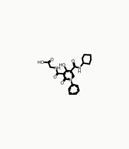 O=C(O)CNC(=O)c1c(O)c(C(=O)NC2CCCCC2)cn(-c2ccccc2)c1=O